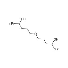 CCCC(O)CCCOCCCC(O)CCC